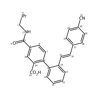 CC(C)CNC(=O)c1ccc(-c2ccccc2C=Cc2ccc(C#N)cc2)c(C(=O)O)c1